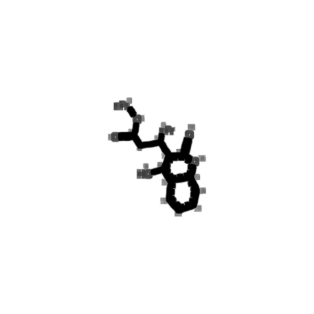 CCCOC(=O)CC(CCC)c1c(O)c2ccccc2oc1=O